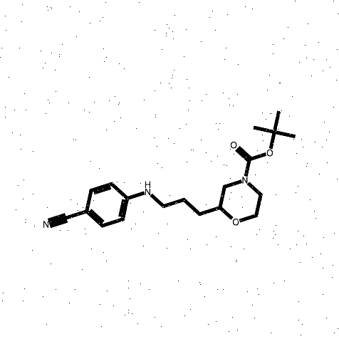 CC(C)(C)OC(=O)N1CCOC(CCCNc2ccc(C#N)cc2)C1